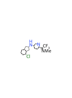 CN[C@@H](c1ccc(NC2Cc3cccc(Cl)c3C2)cn1)C(F)(F)F